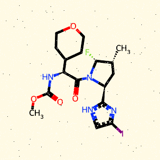 COC(=O)N[C@H](C(=O)N1[C@H](F)[C@H](C)C[C@H]1c1nc(I)c[nH]1)C1CCOCC1